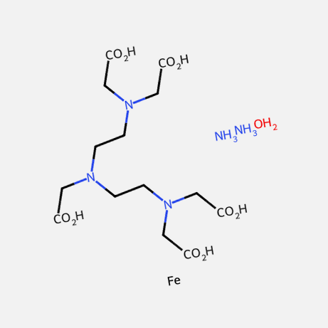 N.N.O.O=C(O)CN(CCN(CC(=O)O)CC(=O)O)CCN(CC(=O)O)CC(=O)O.[Fe]